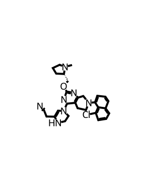 CN1CCC[C@H]1COc1nc2c(c(N3C=C(CC#N)NCC3)n1)CCN(c1cccc3cccc(Cl)c13)C2